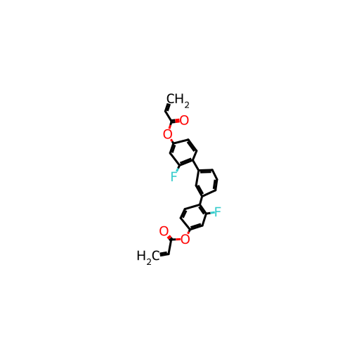 C=CC(=O)Oc1ccc(-c2cccc(-c3ccc(OC(=O)C=C)cc3F)c2)c(F)c1